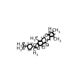 Cc1cc(C)c(CN2CCc3c(C)c4c(c(Cl)c3C2=O)OC(C)([C@H]2CC[C@H](N(C)C)CC2)O4)c(=O)[nH]1